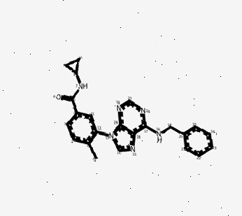 Cc1ccc(C(=O)NC2CC2)cc1-n1cnc2c(NCc3ccccc3)ncnc21